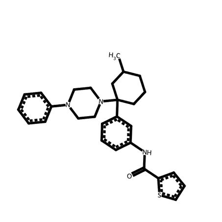 CC1CCCC(c2cccc(NC(=O)c3cccs3)c2)(N2CCN(c3ccccc3)CC2)C1